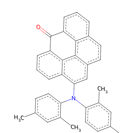 Cc1ccc(N(c2ccc(C)cc2C)c2cc3ccc4cccc5c4c3c3c(cccc23)C5=O)c(C)c1